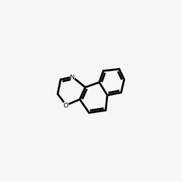 C1=Nc2c(ccc3ccccc23)OC1